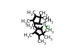 CC1=C(C)C(C)(C)[C]([Ti]([CH3])([Cl])[C]2=C(C)C(C)=C(C)C2(C)C)=C1C